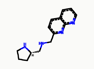 c1cnc2nc(CNC[C@@H]3CCCN3)ccc2c1